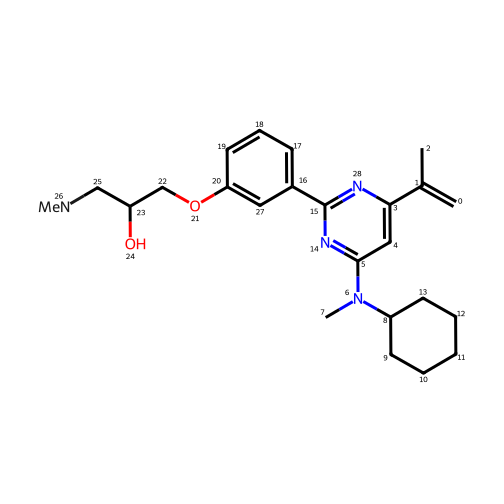 C=C(C)c1cc(N(C)C2CCCCC2)nc(-c2cccc(OCC(O)CNC)c2)n1